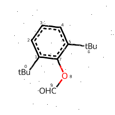 CC(C)(C)c1cccc(C(C)(C)C)c1O[C]=O